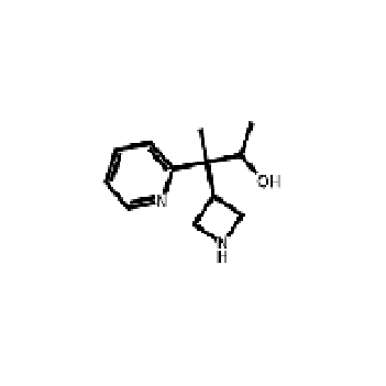 CC(O)C(C)(c1ccccn1)C1CNC1